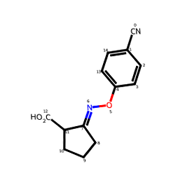 N#Cc1ccc(O/N=C2\CCCC2C(=O)O)cc1